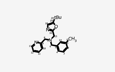 Cc1cccc(CN(Cc2ccccn2)Cc2ncc(C(C)(C)C)o2)c1